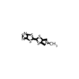 Cn1cc2c(c1)SC(=C1Sc3nsnc3S1)S2